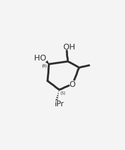 CC1O[C@H](C(C)C)C[C@@H](O)C1O